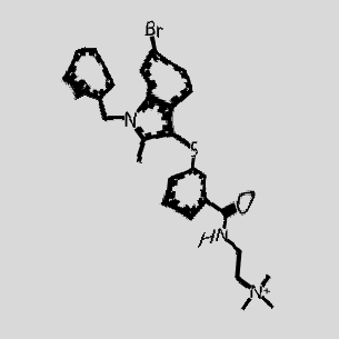 Cc1c(Sc2cccc(C(=O)NCC[N+](C)(C)C)c2)c2ccc(Br)cc2n1Cc1ccccc1